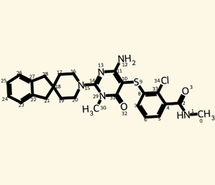 CNC(=O)c1cccc(Sc2c(N)nc(N3CCC4(CC3)Cc3ccccc3C4)n(C)c2=O)c1Cl